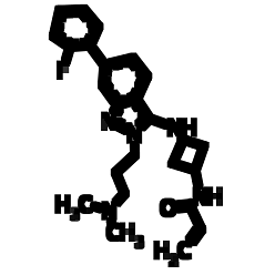 C=CC(=O)NC1CC(Nc2c3ccc(-c4ccccc4F)cc3nn2CCCN(C)C)C1